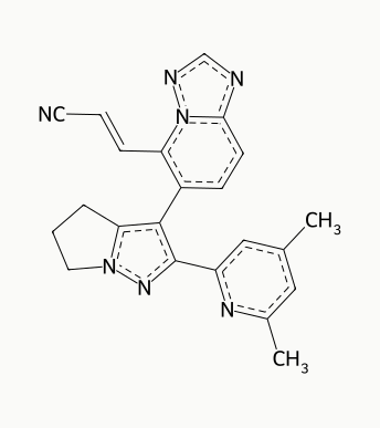 Cc1cc(C)nc(-c2nn3c(c2-c2ccc4ncnn4c2/C=C/C#N)CCC3)c1